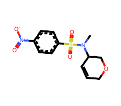 CN(C1C=CCOC1)S(=O)(=O)c1ccc([N+](=O)[O-])cc1